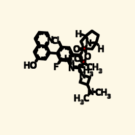 CN(C)C1CN(c2nc(N3C[C@H]4CC[C@@H](C3)N4C(=O)OC(C)(C)C)c3cc(Cl)c(-c4cc(O)cc5cccnc45)c(F)c3n2)C1